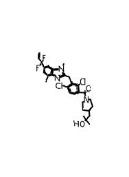 C=CC(F)(F)c1cc(C)c2nc(Cc3c(Cl)ccc(C(=O)N4CCC(CC(C)(C)O)CC4)c3Cl)n(C)c2c1